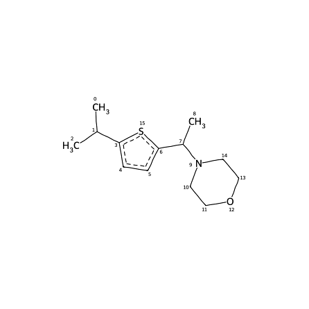 CC(C)c1ccc(C(C)N2CCOCC2)s1